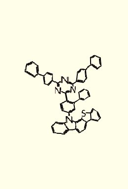 c1ccc(-c2ccc(-c3nc(-c4ccc(-c5ccccc5)cc4)nc(-c4ccc(-n5c6ccccc6c6ccc7c8ccccc8sc7c65)cc4-c4ccccc4)n3)cc2)cc1